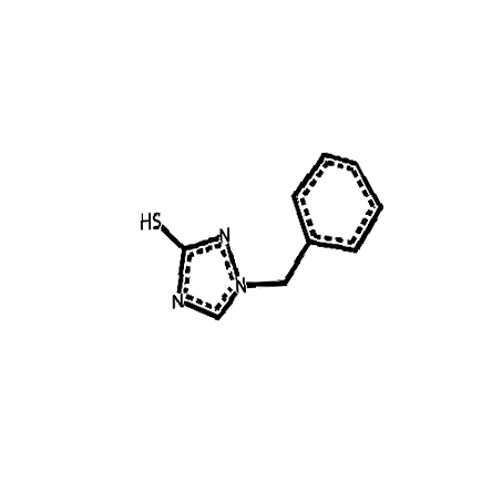 Sc1ncn(Cc2ccccc2)n1